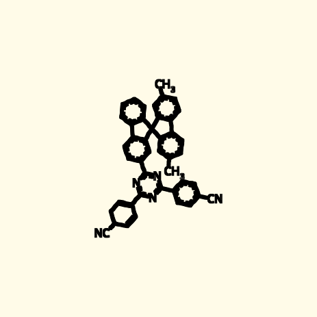 Cc1ccc2c(c1)C1(c3ccccc3-c3ccc(-c4nc(C5=CCC(C#N)C=C5)nc(-c5ccc(C#N)cc5)n4)cc31)c1cc(C)ccc1-2